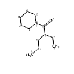 CCCC(CC)C(=O)N1CCCCC1